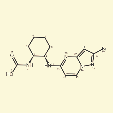 O=C(O)N[C@H]1CCCC[C@H]1Nc1ccn2nc(Br)cc2n1